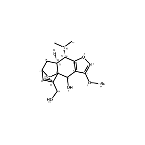 CCCCOc1noc2c1C(O)C13OC(C=C1CO)C[C@H]3[C@@H]2N(C)C